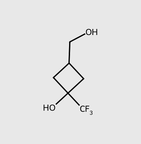 OCC1CC(O)(C(F)(F)F)C1